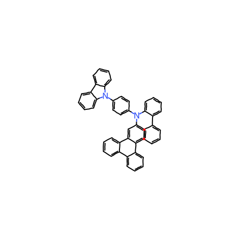 c1ccc(-c2ccccc2N(c2ccc(-n3c4ccccc4c4ccccc43)cc2)c2ccc3c4ccccc4c4ccccc4c3c2)cc1